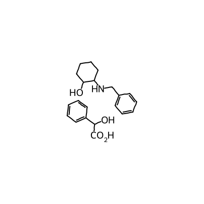 O=C(O)C(O)c1ccccc1.OC1CCCCC1NCc1ccccc1